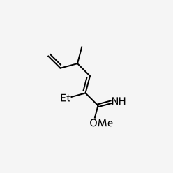 C=CC(C)/C=C(\CC)C(=N)OC